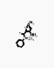 CN(C(=O)c1nn(C)cc1N)C1CCCCC1